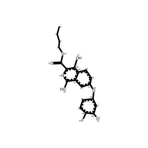 CCCCOC(=O)c1nc(O)c2cc(Oc3ccc(F)c(Cl)c3)ccc2c1O